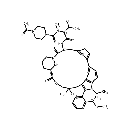 CCn1c(-c2cccnc2[C@H](C)OC)c2c3cc(ccc31)-c1csc(n1)C[C@H](NC(=O)[C@H](C(C)C)N(C)C(=O)N1CCN(C(C)=O)CC1)C(=O)N1CCC[C@@](O)(N1)C(=O)OCC(C)(C)C2